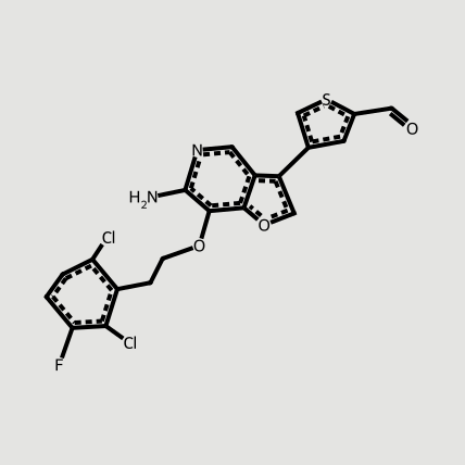 Nc1ncc2c(-c3csc(C=O)c3)coc2c1OCCc1c(Cl)ccc(F)c1Cl